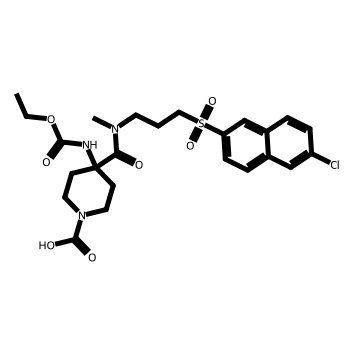 CCOC(=O)NC1(C(=O)N(C)CCCS(=O)(=O)c2ccc3cc(Cl)ccc3c2)CCN(C(=O)O)CC1